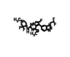 COc1nc(N[C@@H]2CCN(C)CC2(F)F)nn2cc(F)c(-c3ccc4nnn(CC(F)F)c4c3)c12